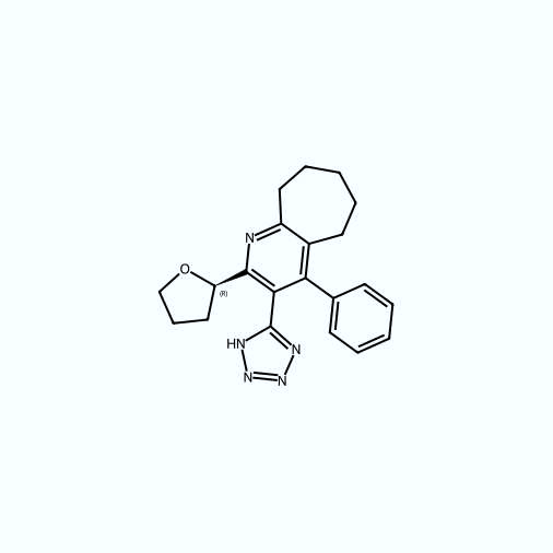 c1ccc(-c2c3c(nc([C@H]4CCCO4)c2-c2nnn[nH]2)CCCCC3)cc1